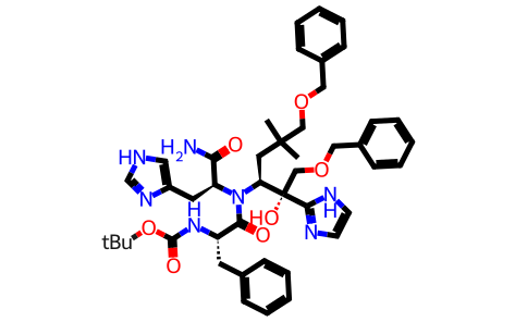 CC(C)(COCc1ccccc1)C[C@H](N(C(=O)[C@H](Cc1ccccc1)NC(=O)OC(C)(C)C)[C@@H](Cc1c[nH]cn1)C(N)=O)[C@@](O)(COCc1ccccc1)c1ncc[nH]1